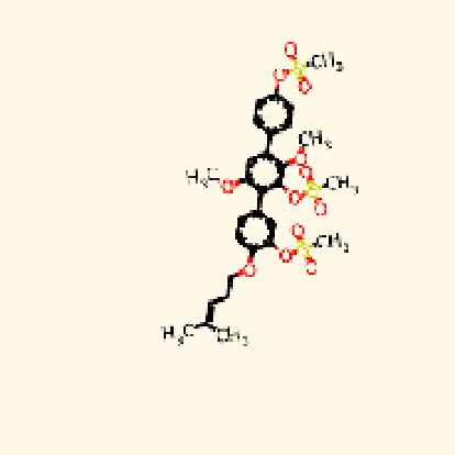 COc1cc(-c2ccc(OS(C)(=O)=O)cc2)c(OC)c(OS(C)(=O)=O)c1-c1ccc(OCCC=C(C)C)c(OS(C)(=O)=O)c1